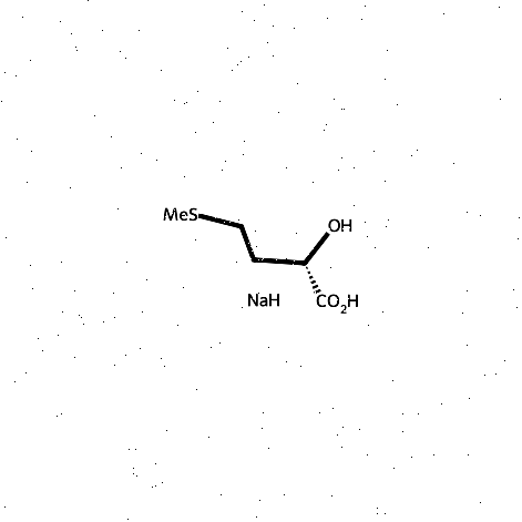 CSCC[C@H](O)C(=O)O.[NaH]